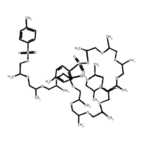 Cc1ccc(S(=O)(=O)OCC(C)OCC(C)OCC(C)OCC(C)OCC(C)OCC(C)OCC(C)OCC(C)OCC(C)OCC(C)OCC(C)OCC(C)OCC(C)OCC(C)OS(=O)(=O)c2ccc(C)cc2)cc1